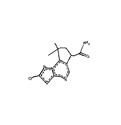 CC1(C)CC(C(N)=O)c2cnc3cc(Cl)nn3c21